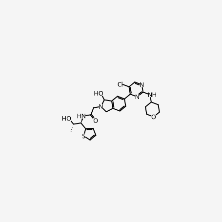 C[C@H](O)[C@@H](NC(=O)CN1Cc2ccc(-c3nc(NC4CCOCC4)ncc3Cl)cc2C1O)c1cccs1